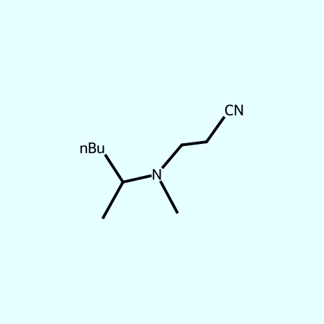 CCCCC(C)N(C)CCC#N